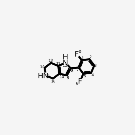 Fc1cccc(F)c1-c1cc2c([nH]1)CCNC2